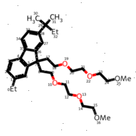 CCc1ccc2c(c1)C(CCOCCOCCOC)(CCOCCOCCOC)c1cc(C(C)(C)CC)ccc1-2